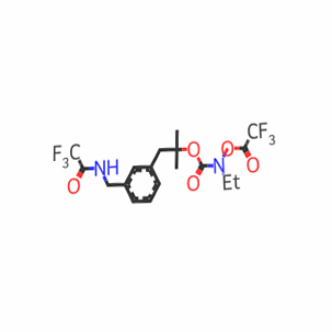 CCN(OC(=O)C(F)(F)F)C(=O)OC(C)(C)Cc1cccc(CNC(=O)C(F)(F)F)c1